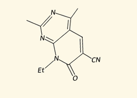 CCn1c(=O)c(C#N)cc2c(C)nc(C)nc21